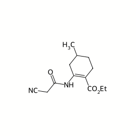 CCOC(=O)C1=C(NC(=O)CC#N)CC(C)CC1